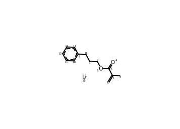 C=C(C)C(=O)OCCCc1ccccc1.[Li]